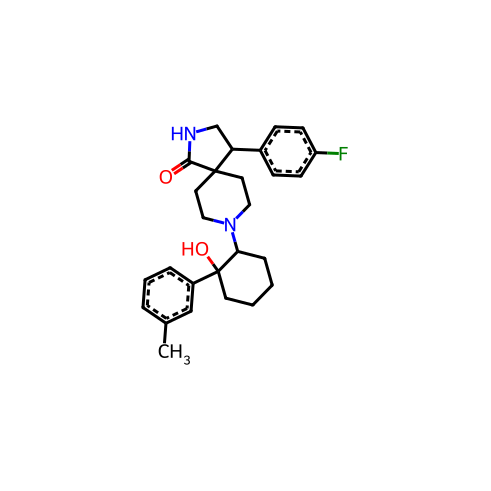 Cc1cccc(C2(O)CCCCC2N2CCC3(CC2)C(=O)NCC3c2ccc(F)cc2)c1